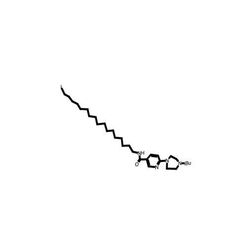 CCC(C)N1CCN(c2ccc(C(=O)NCCCCCCCCCCCCCCCCCI)cn2)CC1